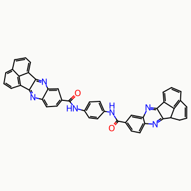 O=C(Nc1ccc(NC(=O)c2ccc3nc4c(nc3c2)-c2cccc3c2C4CC=C3)cc1)c1ccc2nc3c(nc2c1)-c1cccc2cccc-3c12